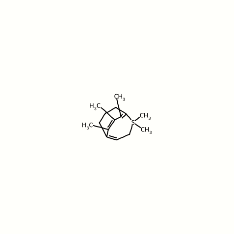 C/C1=C(C)/C(C)=C2\CCC\C1=C/CS2(C)C